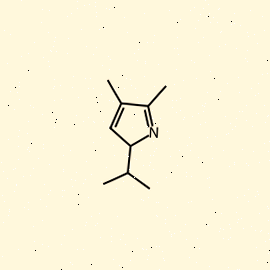 CC1=CC(C(C)C)N=C1C